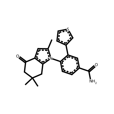 Cc1cc2c(n1-c1ccc(C(N)=O)cc1-c1ccsc1)CC(C)(C)CC2=O